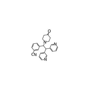 N#Cc1cccc(C(C(c2cccnc2)c2cccnc2)N2CCC(=O)CC2)c1